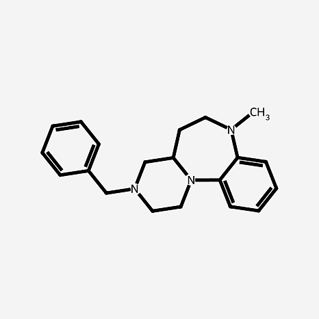 CN1CCC2CN(Cc3ccccc3)CCN2c2ccccc21